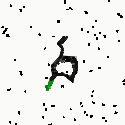 C=Cc1[c]ccc(F)c1